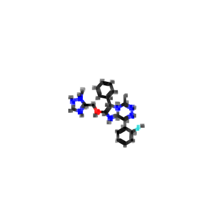 Cc1nnc(-c2ccccc2F)c2nc(OCc3ncnn3C)c(-c3ccccc3)n12